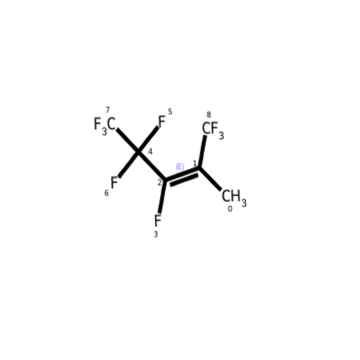 C/C(=C(\F)C(F)(F)C(F)(F)F)C(F)(F)F